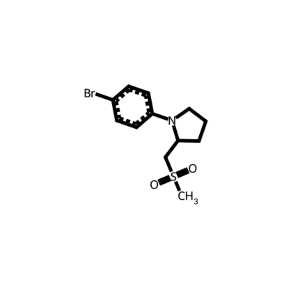 CS(=O)(=O)CC1CCCN1c1ccc(Br)cc1